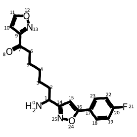 NC(CCCCCC(=O)c1ccon1)c1cc(-c2ccc(F)cc2)on1